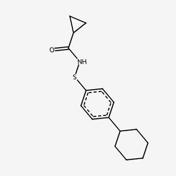 O=C(NSc1ccc(C2CCCCC2)cc1)C1CC1